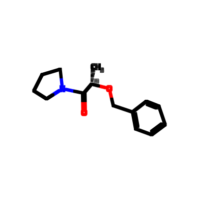 C[C@H](OCc1ccccc1)C(=O)N1CCCC1